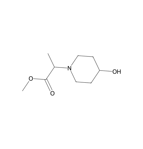 COC(=O)C(C)N1CCC(O)CC1